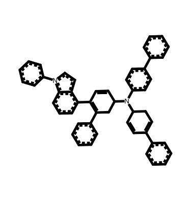 C1=CC(N(c2ccc(-c3ccccc3)cc2)C2C=CC(c3cccc4c3ccn4-c3ccccc3)=C(c3ccccc3)C2)CC=C1c1ccccc1